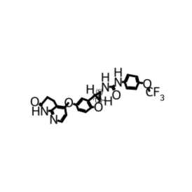 O=C1CCc2c(Oc3ccc4c(c3)[C@H]3[C@H](NC(=O)Nc5ccc(OC(F)(F)F)cc5)[C@H]3O4)ccnc2N1